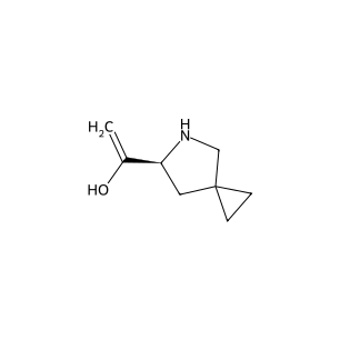 C=C(O)[C@@H]1CC2(CC2)CN1